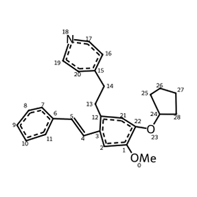 COc1cc(/C=C/c2ccccc2)c(CCc2ccncc2)cc1OC1CCCC1